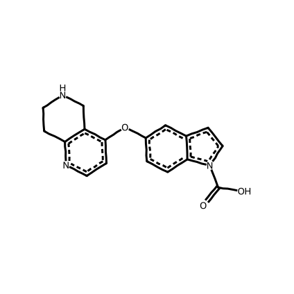 O=C(O)n1ccc2cc(Oc3ccnc4c3CNCC4)ccc21